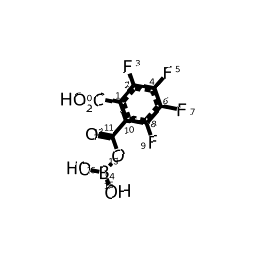 O=C(O)c1c(F)c(F)c(F)c(F)c1C(=O)OB(O)O